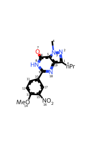 CCCc1nn(C)c2c(=O)[nH]c(-c3ccc(OC)c([N+](=O)[O-])c3)nc12